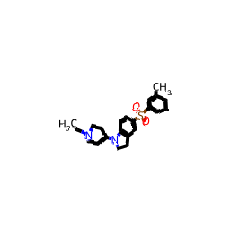 CCN1CCC(N2CCc3cc(S(=O)(=O)c4cccc(C)c4)ccc32)CC1